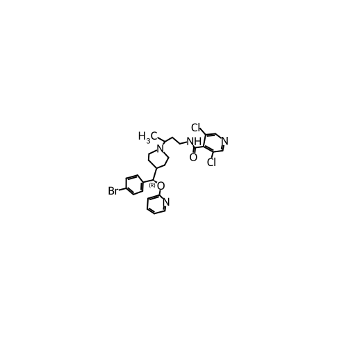 CC(CCNC(=O)c1c(Cl)cncc1Cl)N1CCC([C@@H](Oc2ccccn2)c2ccc(Br)cc2)CC1